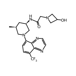 C[C@H]1C[C@@H](NC(=O)CN2CC(O)C2)CN(c2ccc(C(F)(F)F)c3nccnc23)C1